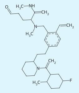 C=Cc1ccc(CCC2CCCCN2C(=C)C2CC(F)CCC2C)cc1CN(C)C(CCC=O)C(=C)NC